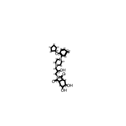 O=C1C2CC(O)C(O)CC2C(=O)N1CC(O)CN1CCN(c2cc(F)ccc2OC2CCCC2)CC1